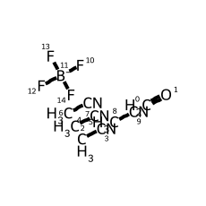 C=O.CC#N.CC#N.CC#N.CC#N.F[B-](F)(F)F